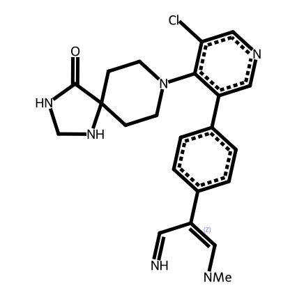 CN/C=C(\C=N)c1ccc(-c2cncc(Cl)c2N2CCC3(CC2)NCNC3=O)cc1